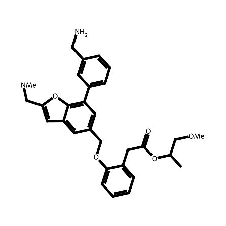 CNCc1cc2cc(COc3ccccc3CC(=O)OC(C)COC)cc(-c3cccc(CN)c3)c2o1